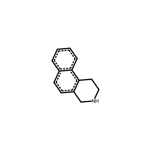 c1ccc2c3c(ccc2c1)CNCC3